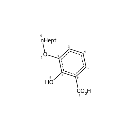 CCCCCCCOc1cccc(C(=O)O)c1O